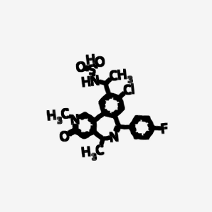 CC1N=C(c2ccc(F)cc2)c2cc(Cl)c(C(C)N[SH](=O)=O)cc2-c2cn(C)c(=O)cc21